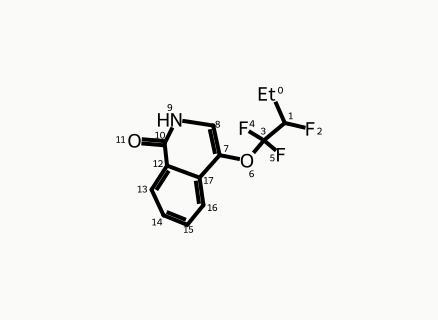 CCC(F)C(F)(F)Oc1c[nH]c(=O)c2ccccc12